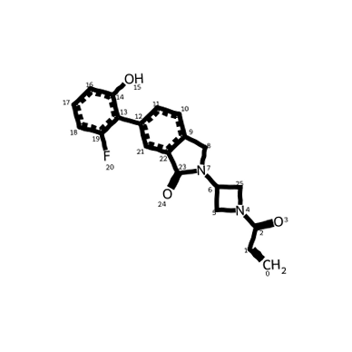 C=CC(=O)N1CC(N2Cc3ccc(-c4c(O)cccc4F)cc3C2=O)C1